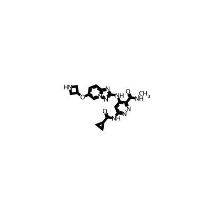 CNC(=O)c1nnc(NC(=O)C2CC2)cc1Nc1nc2ccc(OC3CNC3)cn2n1